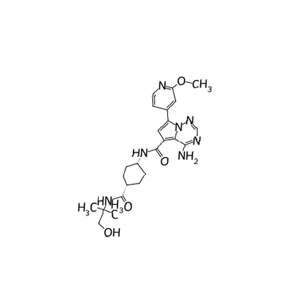 COc1cc(-c2cc(C(=O)N[C@H]3CC[C@@H](C(=O)NC(C)(C)CO)CC3)c3c(N)ncnn23)ccn1